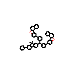 CC1(C)c2cc(-c3ccccc3)ccc2-c2ccc(C(c3cccc(-c4ccc5oc6ccc7ccccc7c6c5c4)c3)c3cccc(-c4ccc5oc6ccc7ccccc7c6c5c4)c3)cc21